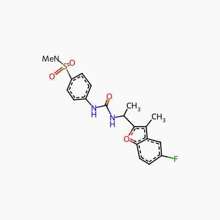 CNS(=O)(=O)c1ccc(NC(=O)NC(C)c2oc3ccc(F)cc3c2C)cc1